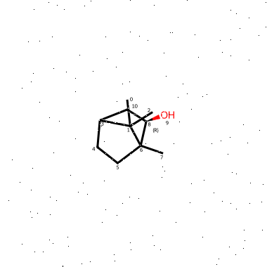 CC1(C)C2CCC1(C)[C@H](O)C2